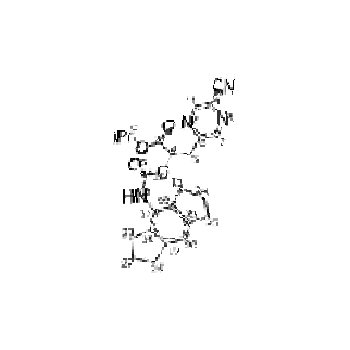 CC(C)OC(=O)C(Cc1cnc(C#N)cn1)OC(=O)Nc1c2c(cc3c1CCC3)CCC2